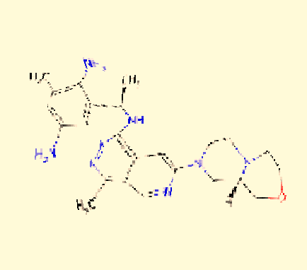 Cc1cc(N)cc([C@@H](C)Nc2nnc(C)c3cnc(N4CCN5CCOC[C@@H]5C4)cc23)c1N